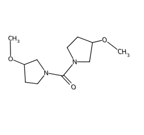 COC1CCN(C(=O)N2CCC(OC)C2)C1